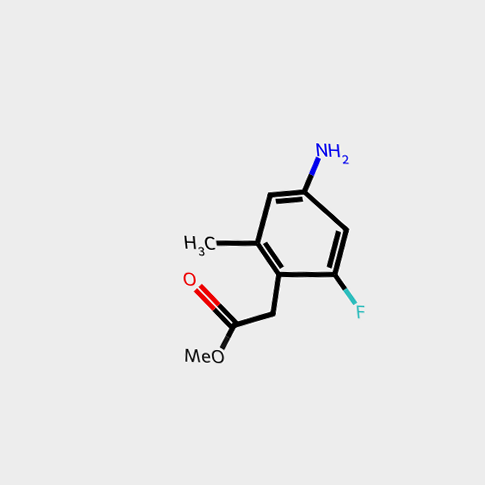 COC(=O)Cc1c(C)cc(N)cc1F